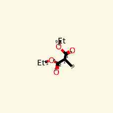 [CH2]C(C(=O)OCC)C(=O)OCC